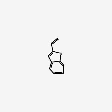 C=[C]c1cc2ccccc2s1